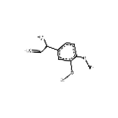 C=C[C](C)c1ccc(OC(C)C)c(OCC)c1